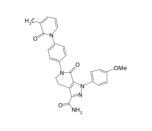 COc1ccc(-n2nc(C(N)=O)c3c2C(=O)N(c2ccc(-n4cccc(C)c4=O)cc2)CC3)cc1